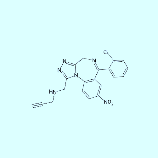 C#CCNCc1nnc2n1-c1ccc([N+](=O)[O-])cc1C(c1ccccc1Cl)=NC2